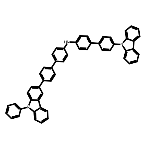 c1ccc(-n2c3ccccc3c3cc(-c4ccc(-c5ccc(Nc6ccc(-c7ccc(-n8c9ccccc9c9ccccc98)cc7)cc6)cc5)cc4)ccc32)cc1